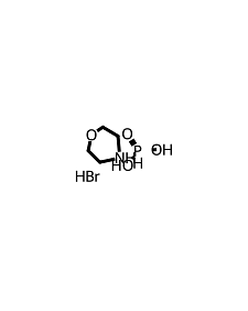 Br.C1COCCN1.O=[PH](O)O